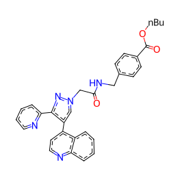 CCCCOC(=O)c1ccc(CNC(=O)Cn2cc(-c3ccnc4ccccc34)c(-c3ccccn3)n2)cc1